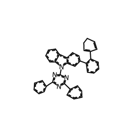 C1=CC(c2ccccc2-c2ccc3c4ccccc4n(-c4nc(-c5ccccc5)nc(-c5ccccc5)n4)c3c2)=CCC1